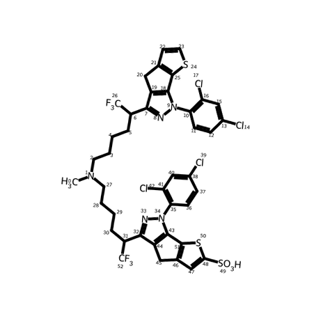 CN(CCCCC(c1nn(-c2ccc(Cl)cc2Cl)c2c1Cc1ccsc1-2)C(F)(F)F)CCCCC(c1nn(-c2ccc(Cl)cc2Cl)c2c1Cc1cc(S(=O)(=O)O)sc1-2)C(F)(F)F